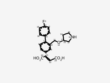 Fc1ccc(-c2ccccc2CO[C@H]2CCNC2)cc1.O=C(O)C=CC(=O)O